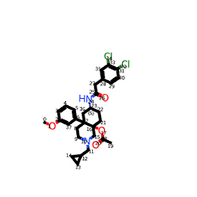 COc1cccc(C23CCN(CC4CC4)CC2(OC(C)=O)CC[C@H](NC(=O)Cc2ccc(Cl)c(Cl)c2)C3)c1